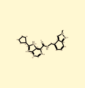 Cn1cc2c(CNC(=O)c3ncnc4nc(C5CCCC5)[nH]c34)cccc2n1